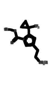 CCOC(=O)CCc1cc(C2(C(F)(F)F)CC2)n(C(=O)OC(C)(C)C)c1